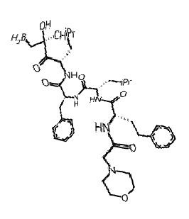 BC[C@@](C)(O)C(=O)[C@H](CC(C)C)NC(=O)[C@H](Cc1ccccc1)NC(=O)[C@H](CC(C)C)NC(=O)[C@H](CCc1ccccc1)NC(=O)CN1CCOCC1